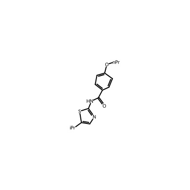 CCCOc1ccc(C(=O)Nc2ncc(C(C)C)s2)cc1